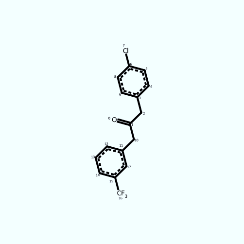 O=C(Cc1ccc(Cl)cc1)Cc1cccc(C(F)(F)F)c1